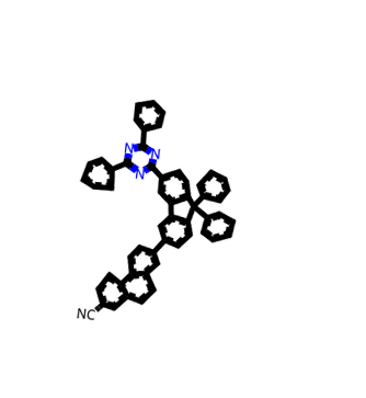 N#Cc1ccc2c(ccc3cc(-c4ccc5c(c4)-c4cc(-c6nc(-c7ccccc7)nc(-c7ccccc7)n6)ccc4C5(c4ccccc4)c4ccccc4)ccc32)c1